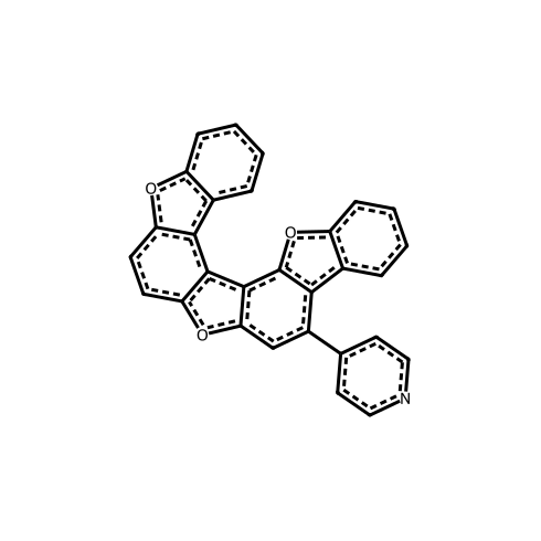 c1ccc2c(c1)oc1c2c(-c2ccncc2)cc2oc3ccc4oc5ccccc5c4c3c21